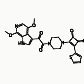 COc1ncc(OC)c2c(C(=O)C(=O)N3CCN(c4c(-c5cccs5)c(=O)c4=O)CC3)c[nH]c12